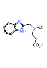 CCN(CCC(=O)O)Cc1nc2ccccc2[nH]1